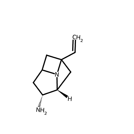 C=CC12CC3C[C@@H](N)[C@@H](C1)N32